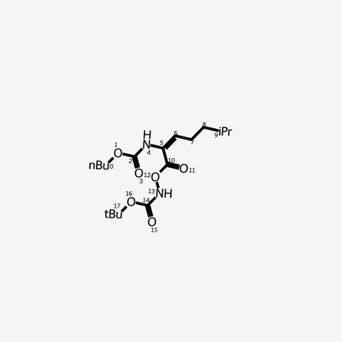 CCCCOC(=O)NC(=CCCC(C)C)C(=O)ONC(=O)OC(C)(C)C